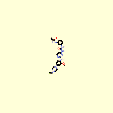 C=CC(=O)Nc1cccc(NC(=O)Nc2ccnc(Nc3ccc(N4CCN(CCF)CC4)cc3OC)n2)c1